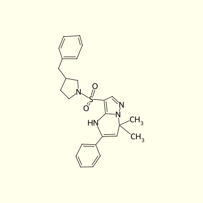 CC1(C)C=C(c2ccccc2)Nc2c(S(=O)(=O)N3CCC(Cc4ccccc4)C3)cnn21